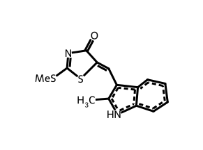 CSC1=NC(=O)/C(=C/c2c(C)[nH]c3ccccc23)S1